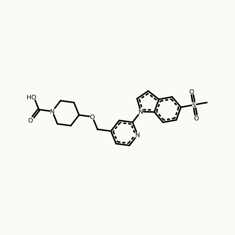 CS(=O)(=O)c1ccc2c(ccn2-c2cc(COC3CCN(C(=O)O)CC3)ccn2)c1